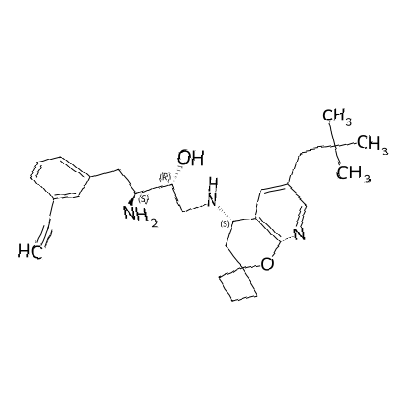 C#Cc1cccc(C[C@H](N)[C@H](O)CN[C@H]2CC3(CCC3)Oc3ncc(CC(C)(C)C)cc32)c1